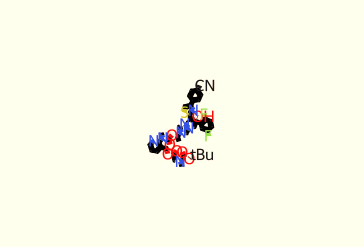 CC(OC(=O)N(C)c1ncccc1COC(=O)CN(C)C(=O)OC(C)(C)C)N1C=NN(C[C@](O)(c2cc(F)ccc2F)[C@@H](C)c2nc(-c3ccc(C#N)cc3)cs2)C1